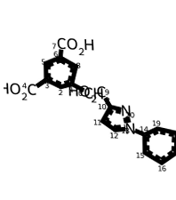 Cc1cc(C(=O)O)cc(C(=O)O)c1.O=C(O)c1ccn(-c2ccccc2)n1